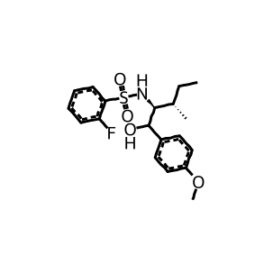 CC[C@H](C)[C@H](NS(=O)(=O)c1ccccc1F)C(O)c1ccc(OC)cc1